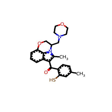 Cc1ccc(C(=O)c2c(C)n3c4c(cccc24)OCC3CN2CCOCC2)c(S)c1